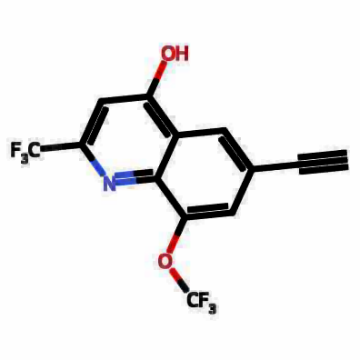 C#Cc1cc(OC(F)(F)F)c2nc(C(F)(F)F)cc(O)c2c1